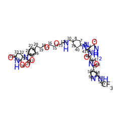 NC(=O)c1nn([C@H]2CC[C@H](CNCCOCCOCCCc3ccc4c(c3)oc(=O)n4C3CCC(=O)NC3=O)CC2)cc1NC(=O)c1coc(-c2ccnc(NCC(F)(F)F)c2)n1